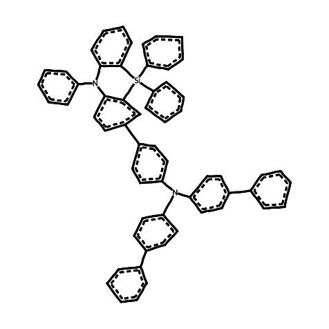 c1ccc(-c2ccc(N(c3ccc(-c4ccccc4)cc3)c3ccc(-c4ccc5c(c4)[Si](c4ccccc4)(c4ccccc4)c4ccccc4N5c4ccccc4)cc3)cc2)cc1